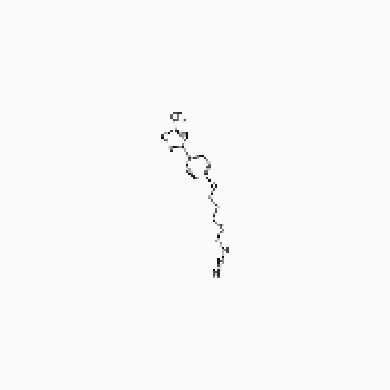 [N-]=[N+]=NCSCCCOc1ccc(-c2noc(C(F)(F)F)n2)cc1